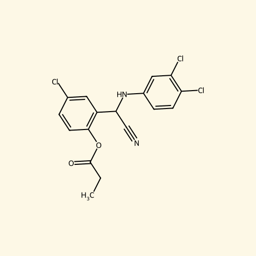 CCC(=O)Oc1ccc(Cl)cc1C(C#N)Nc1ccc(Cl)c(Cl)c1